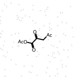 CC(=O)CC(=O)C(=O)OC(C)=O